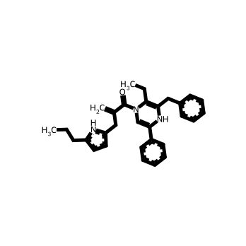 C=C(Cc1ccc(CCC)[nH]1)C(=O)N1C=C(c2ccccc2)NC(Cc2ccccc2)=C1CC